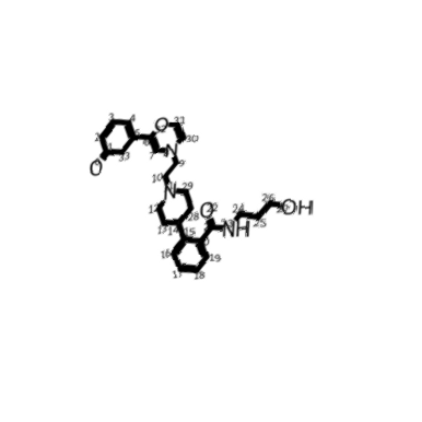 O=C1C=CC=C(C2=CN(CCN3CCC(c4ccccc4C(=O)NCCCO)CC3)C=CO2)C1